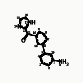 Nc1cccc(-c2cccc(C(=O)c3ncc[nH]3)c2)c1